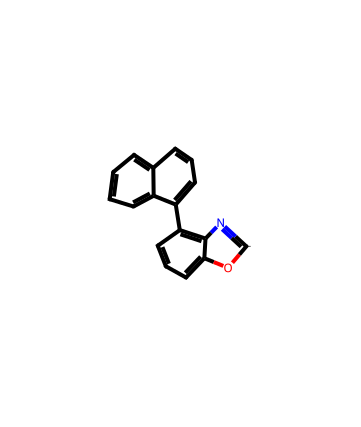 [c]1nc2c(-c3cccc4ccccc34)cccc2o1